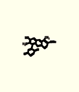 COc1ccc2cc3c(C4=CC(=O)C=CC4=O)c(C)c(O)cc3cc2c1C